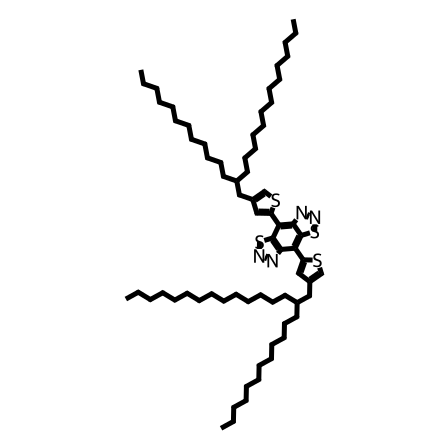 CCCCCCCCCCCCCCC(CCCCCCCCCCCC)Cc1csc(-c2c3nnsc3c(-c3cc(CC(CCCCCCCCCCCC)CCCCCCCCCCCCCC)cs3)c3nnsc23)c1